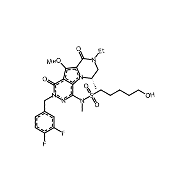 CCN1C[C@H](C)n2c(c(OC)c3c(=O)n(Cc4ccc(F)c(F)c4)nc(N(C)S(=O)(=O)CCCCCO)c32)C1=O